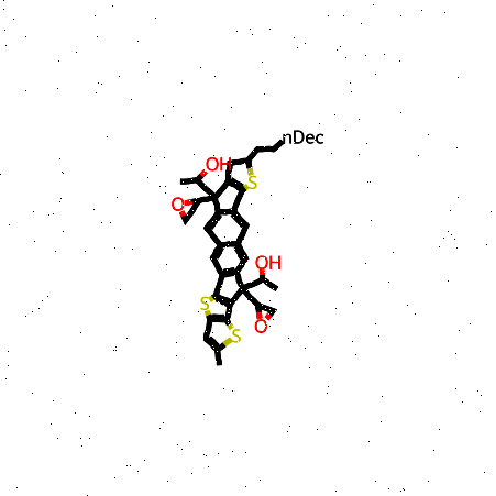 CCCCCCCCCCCCC1CC2=C(S1)c1cc3cc4c(cc3cc1C2(C(C)O)C1CO1)-c1sc2cc(C)sc2c1C4(C(C)O)C1CO1